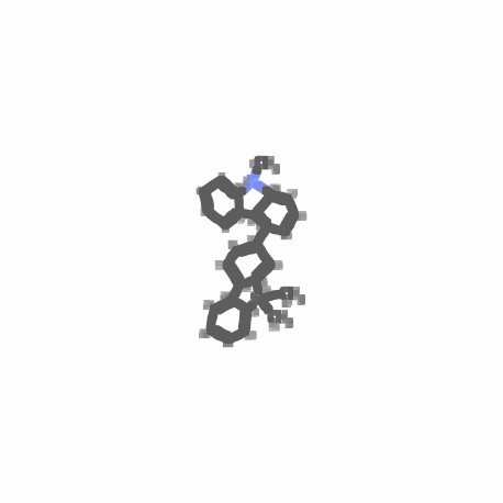 Cn1c2ccccc2c2c(-c3ccc4c(c3)[Si](C)(C)c3ccccc3-4)cccc21